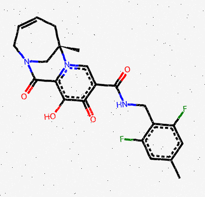 Cc1cc(F)c(CNC(=O)c2cn3c(c(O)c2=O)C(=O)N2CC=CC[C@@]3(C)C2)c(F)c1